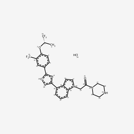 C[C@H](Oc1ccc(-c2nc(-c3cccc4c3ccn4CC(=O)N3CCNCC3)no2)cc1C(F)(F)F)C(F)(F)F.Cl